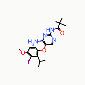 COc1ccc(Oc2cnc(NC(=O)C(C)(C)C)nc2N)c(C(C)C)c1I